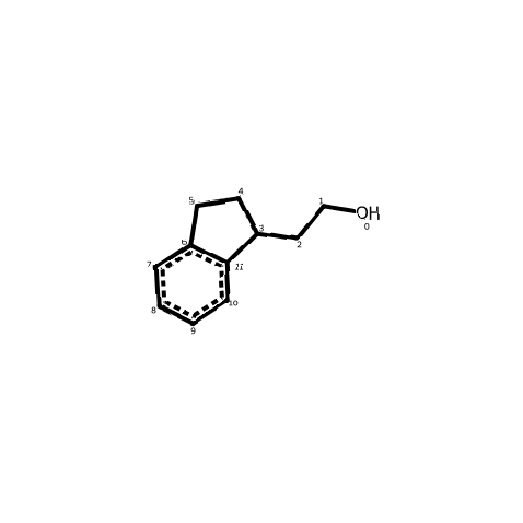 OCCC1CCc2ccccc21